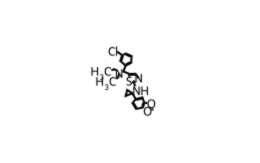 CCN(CC)C(c1cccc(Cl)c1)c1cnc(NC2(c3ccc4c(c3)OCO4)CC2)s1